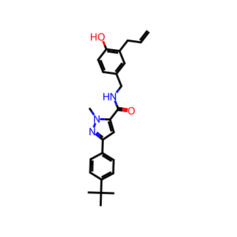 C=CCc1cc(CNC(=O)c2cc(-c3ccc(C(C)(C)C)cc3)nn2C)ccc1O